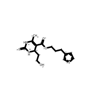 CC1=C(C(=O)OCCCc2ccsc2)C(CCO)NC(=S)N1